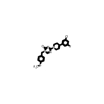 O=c1nc(N2CC=C(c3cc(F)cc(Cl)c3)CC2)ncn1Cc1ccc(SC(F)(F)F)cc1